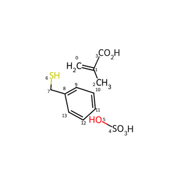 C=C(C)C(=O)O.O=S(=O)(O)O.SCc1ccccc1